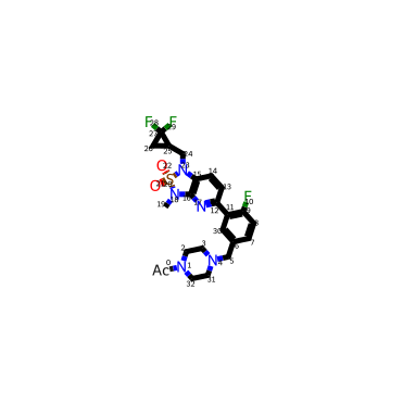 CC(=O)N1CCN(Cc2ccc(F)c(-c3ccc4c(n3)N(C)S(=O)(=O)N4CC3CC3(F)F)c2)CC1